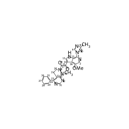 COc1cnc(-n2cnc(C)n2)c2[nH]cc(C(=O)C(=O)N3CCc4c(-c5ccccc5)ncnc4N3C)c12